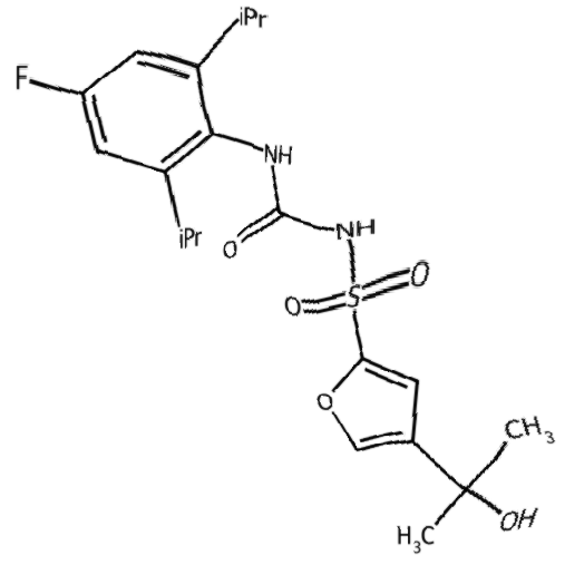 CC(C)c1cc(F)cc(C(C)C)c1NC(=O)NS(=O)(=O)c1cc(C(C)(C)O)co1